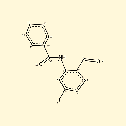 O=Cc1ccc(I)cc1NC(=O)c1ccccc1